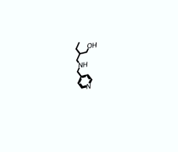 CCC(CO)CNCc1ccncc1